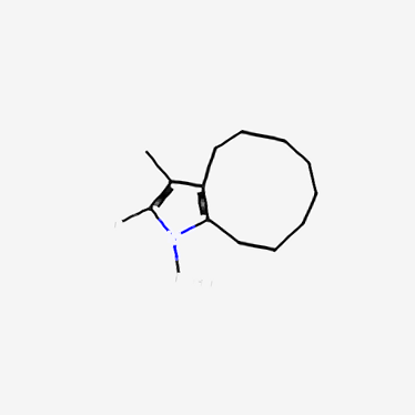 CCCCCn1c(CCC)c(C)c2c1CCCCCCCC2